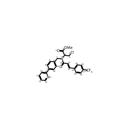 COC(=O)C(CCl)N(Cc1ccc(-c2ccccn2)cc1)C(=O)C=Cc1ccc(C(F)(F)F)cc1